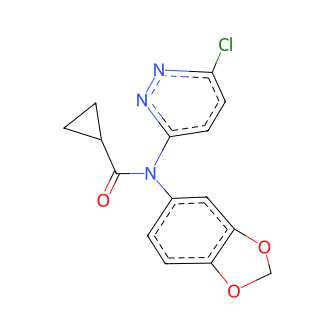 O=C(C1CC1)N(c1ccc2c(c1)OCO2)c1ccc(Cl)nn1